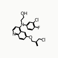 C=C(CCl)COc1ccc2nccc(N(CCO)c3ccc(F)c(Cl)c3)c2c1